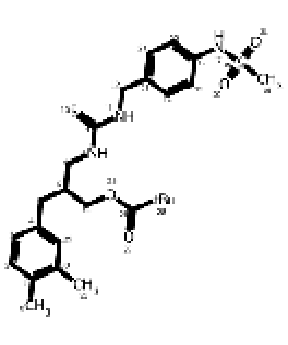 Cc1ccc(CC(CNC(=S)NCc2ccc(NS(C)(=O)=O)cc2)COC(=O)C(C)(C)C)cc1C